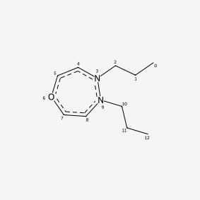 CCCn1ccoccn1CCC